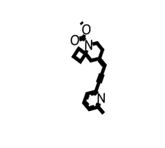 COC(=O)N1CCC(=CC#Cc2cccc(C)n2)CC12CCC2